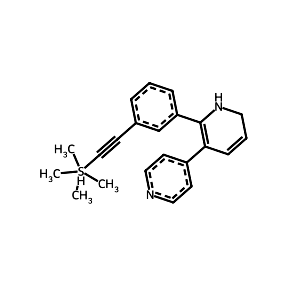 C[SH](C)(C)(C)C#Cc1cccc(C2=C(c3ccncc3)C=CCN2)c1